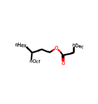 CCCCCCCCCCCC(=O)OCCC(CCCCCC)CCCCCCCC